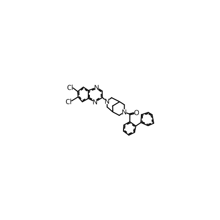 O=C(c1ccccc1-c1ccccc1)N1CC2CC(C1)CN(c1cnc3cc(Cl)c(Cl)cc3n1)C2